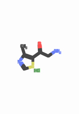 Cc1ncsc1C(=O)CN.Cl